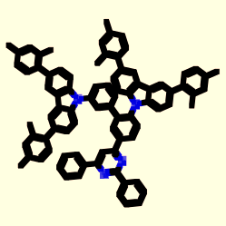 Cc1ccc(-c2ccc3c(c2)c2cc(-c4ccc(C)cc4C)ccc2n3-c2cccc(-c3cc(-c4cc(-c5ccccc5)nc(-c5ccccc5)n4)ccc3-n3c4ccc(-c5ccc(C)cc5C)cc4c4cc(-c5ccc(C)cc5C)ccc43)c2)c(C)c1